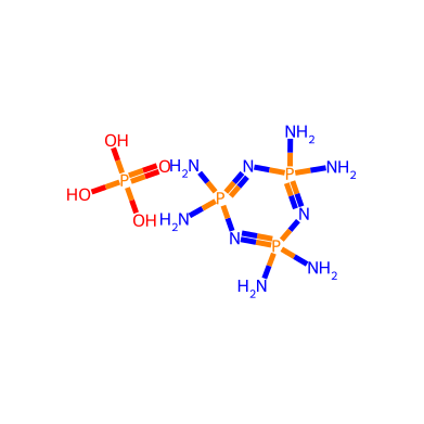 NP1(N)=NP(N)(N)=NP(N)(N)=N1.O=P(O)(O)O